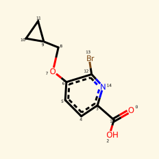 O=C(O)c1ccc(OCC2CC2)c(Br)n1